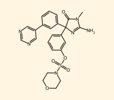 CN1C(=O)C(c2cccc(OS(=O)(=O)N3CCOCC3)c2)(c2cccc(-c3cncnc3)c2)N=C1N